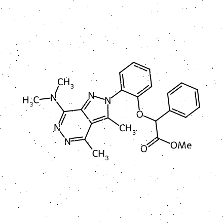 COC(=O)C(Oc1ccccc1-n1nc2c(N(C)C)nnc(C)c2c1C)c1ccccc1